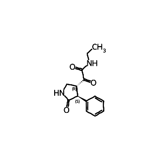 CCNC(=O)C(=O)[C@H]1CNC(=O)[C@@H]1c1ccccc1